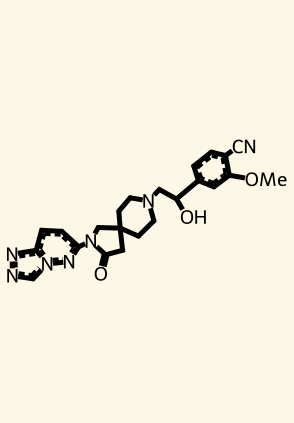 COc1cc(C(O)CN2CCC3(CC2)CC(=O)N(c2ccc4nncn4n2)C3)ccc1C#N